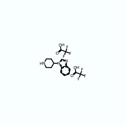 O=C(O)C(F)(F)F.O=C(O)C(F)(F)F.c1ccc2c(c1)ncn2C1CCNCC1